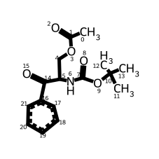 CC(=O)OCC(NC(=O)OC(C)(C)C)C(=O)c1ccccc1